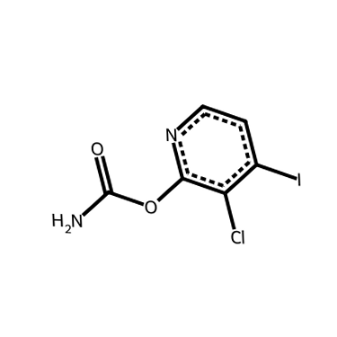 NC(=O)Oc1nccc(I)c1Cl